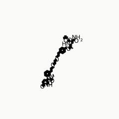 C[C@@H](OCc1ccc(CCCOCCOCCCc2cccc3c2n(C)c(=O)n3C2CCC(=O)NC2=O)cc1)[C@H](CCC(N)=O)NC(=O)OC(C)(C)C